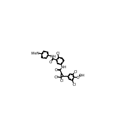 CNc1ccc(NC(=O)c2cc(NC(=O)C3C(c4cc(Cl)c(OO)c(Cl)c4)C3(Cl)Cl)ccc2Cl)cc1